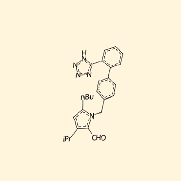 CCCCc1cc(C(C)C)c(C=O)n1Cc1ccc(-c2ccccc2-c2nnn[nH]2)cc1